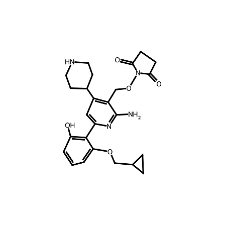 Nc1nc(-c2c(O)cccc2OCC2CC2)cc(C2CCNCC2)c1CON1C(=O)CCC1=O